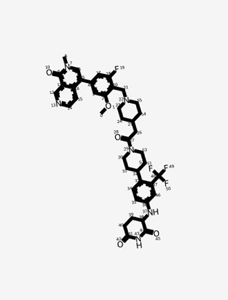 COc1cc(-c2cn(C)c(=O)c3cnccc23)cc(F)c1CN1CCC(CC(=O)N2CCC(c3ccc(NC4CCC(=O)NC4=O)cc3C(F)(F)F)CC2)CC1